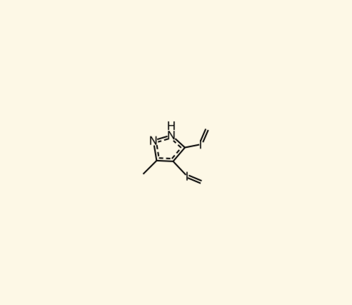 C=Ic1[nH]nc(C)c1I=C